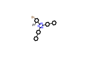 CC(C)c1cc(Br)ccc1-c1nc(-c2ccc(-c3ccccc3)cc2)nc(-c2ccc(-c3ccccc3)cc2)n1